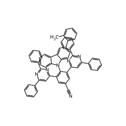 Cc1ccccc1-c1ccc2c(c1)c1ccccc1n2-c1c(-c2cc(-c3ccccc3)nc(-c3ccccc3)n2)cc(C#N)cc1-c1cc(-c2ccccc2)nc(-c2ccccc2)n1